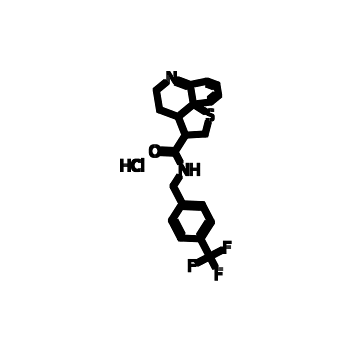 Cl.O=C(NCc1ccc(C(F)(F)F)cc1)C1CSC23C=CC=CC2=NCCC13